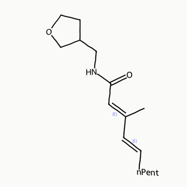 CCCCC/C=C/C(C)=C/C(=O)NCC1CCOC1